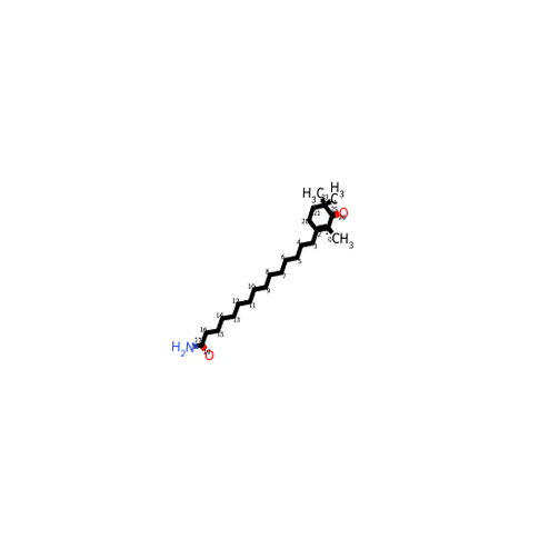 CC1=C(CCCCCCCCCCCCCCC(N)=O)CCC(C)(C)C1=O